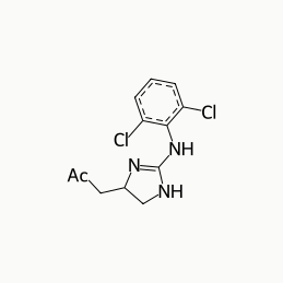 CC(=O)CC1CNC(Nc2c(Cl)cccc2Cl)=N1